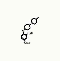 COc1ccc(SN2CCC(N3CCC(C)CC3)CC2)c(OC)c1